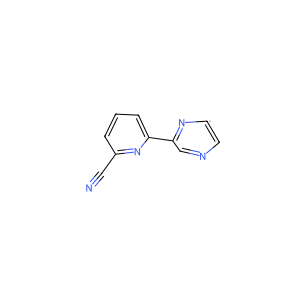 N#Cc1cccc(-c2cnc[c]n2)n1